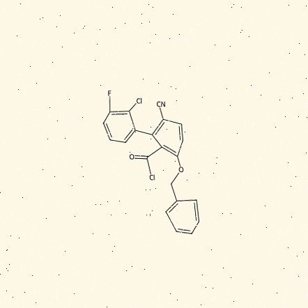 N#Cc1ccc(OCc2ccccc2)c(C(=O)Cl)c1-c1cccc(F)c1Cl